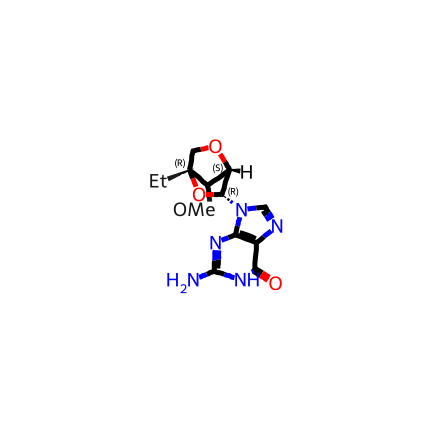 CC[C@@]12CO[C@@H](C1OC)[C@H](n1cnc3c(=O)[nH]c(N)nc31)O2